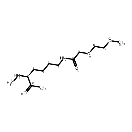 CN[C@@H](CCCCNC(=O)COCCOC)C(C)=O